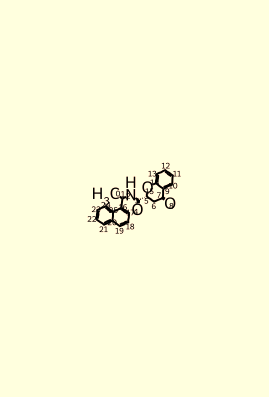 CC(NC(=O)[C@H]1CC(=O)c2ccccc2O1)c1cccc2ccccc12